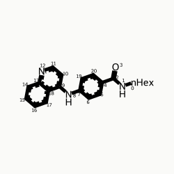 CCCCCCNC(=O)c1ccc(Nc2ccnc3ccccc23)cc1